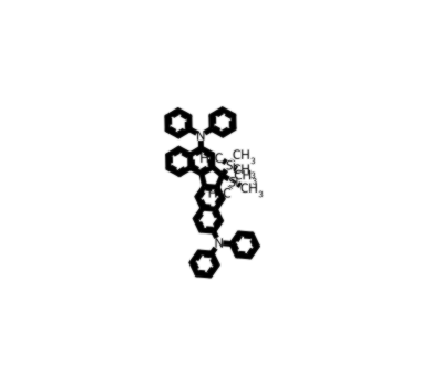 C[Si](C)(C)C1([Si](C)(C)C)c2cc3cc(N(c4ccccc4)c4ccccc4)ccc3cc2-c2c1cc(N(c1ccccc1)c1ccccc1)c1ccccc21